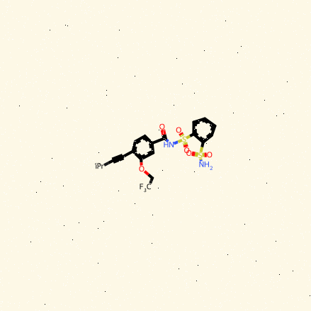 CC(C)C#Cc1ccc(C(=O)NS(=O)(=O)c2ccccc2S(N)(=O)=O)cc1OCC(F)(F)F